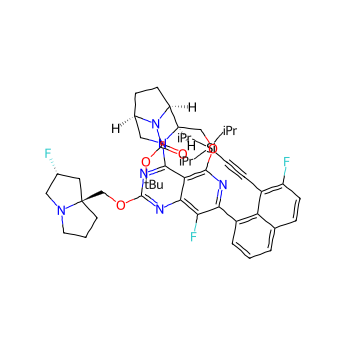 CC(C)[Si](C#Cc1c(F)ccc2cccc(-c3nc4c5c(nc(OC[C@@]67CCCN6C[C@H](F)C7)nc5c3F)N3C[C@H]5CC[C@@H]([C@H]3CO4)N5C(=O)OC(C)(C)C)c12)(C(C)C)C(C)C